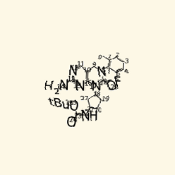 Cc1cccc(F)c1N1Cc2cnc(N)nc2N(C2CCC(NC(=O)OC(C)(C)C)C2)C1=O